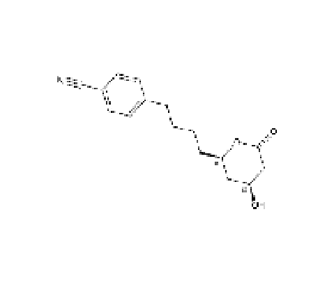 N#Cc1ccc(CCCC[C@@H]2C[C@H](O)CC(=O)O2)cc1